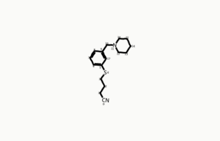 N#CCCCSc1cccc(CN2CCCCC2)c1